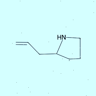 C=CCC1[CH]CCN1